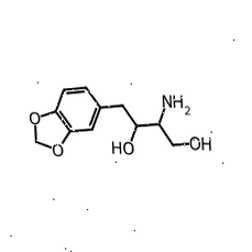 NC(CO)C(O)Cc1ccc2c(c1)OCO2